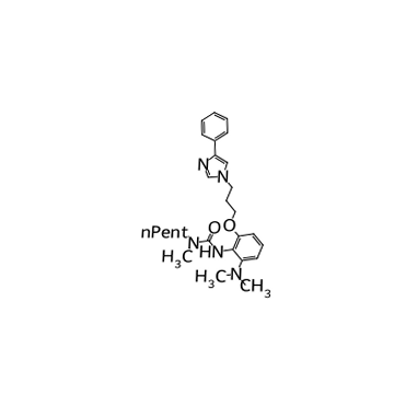 CCCCCN(C)C(=O)Nc1c(OCCCn2cnc(-c3ccccc3)c2)cccc1N(C)C